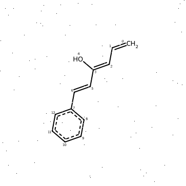 C=CC=C(O)C=Cc1ccccc1